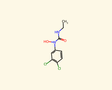 CCNC(=O)N(O)c1ccc(Cl)c(Cl)c1